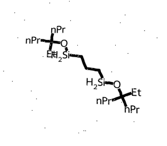 CCCC(CC)(CCC)O[SiH2]CCC[SiH2]OC(CC)(CCC)CCC